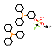 C1CCC(P(C2CCCCC2)C2CCCCC2)CC1.C1CCC(P(C2CCCCC2)C2CCCCC2)CC1.O=S(=O)([O-])C(F)(F)F.[PdH+]